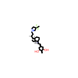 C=C1[C@H](O)CC(=C/C=C2\CCC[C@]3(C)[C@@H]([C@H](C)CCN4CC[C@H](C(C)(F)F)C4)CC[C@@H]23)C[C@H]1O